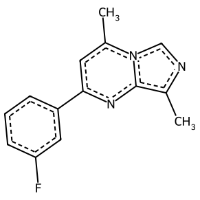 Cc1ncn2c(C)cc(-c3cccc(F)c3)nc12